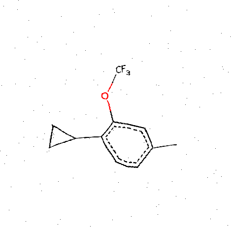 Cc1ccc(C2CC2)c(OC(F)(F)F)c1